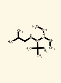 CN[SiH](NC)N(NCC(C)C)C(C)(C)C